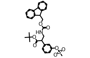 CC(C)(C)OC(=O)C(CNC(=O)OCC1c2ccccc2-c2ccccc21)c1cccc(OS(C)(=O)=O)c1